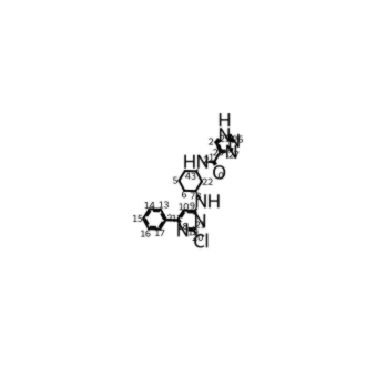 O=C(N[C@H]1CCC[C@@H](Nc2cc(-c3ccccc3)nc(Cl)n2)C1)c1c[nH]nn1